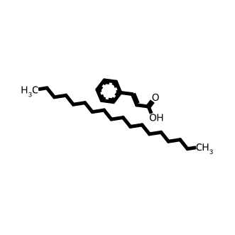 CCCCCCCCCCCCCCCCCC.O=C(O)C=Cc1ccccc1